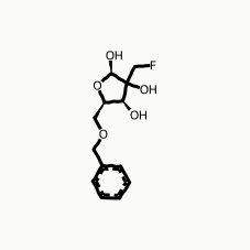 O[C@@H]1O[C@H](COCc2ccccc2)[C@H](O)C1(O)CF